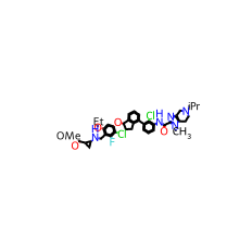 CCOc1cc(OC2CCc3c(-c4cccc(NC(=O)c5nc6c(n5C)CCN(C(C)C)C6)c4Cl)cccc32)c(Cl)c(F)c1CNC1CC1C(=O)OC